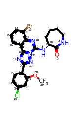 O=C1NCCCC[C@H]1Nc1nc2c(Br)cccc2c2nc(-c3ccc(Cl)cc3OC(F)(F)F)nn12